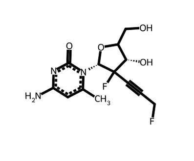 Cc1cc(N)nc(=O)n1[C@@H]1OC(CO)[C@H](O)C1(F)C#CCF